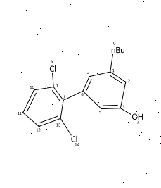 CCCCc1cc(O)cc(-c2c(Cl)cccc2Cl)c1